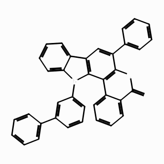 O=c1oc2c(-c3ccccc3)cc3c4ccccc4n(-c4cccc(-c5ccccc5)c4)c3c2c2ccccc12